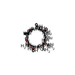 CCCC[C@H]1C(=O)N(C)[C@@H](CCCC)C(=O)N[C@@H](CCCNC(=N)N)C(=O)N[C@@H](C(=O)NCC(N)=O)CSCC(=O)N[C@@H](Cc2c[nH]c3ccccc23)C(=O)N(C)[C@@H](C)C(=O)N[C@@H](CC(N)=O)C(=O)N2CCC[C@H]2C(=O)N[C@@H](Cc2cnc[nH]2)C(=O)N[C@@H](CC(C)C)C(=O)N(C)CC(=O)N[C@@H](Cc2c[nH]c3ccccc23)C(=O)N[C@@H](CO)C(=O)N[C@@H](Cc2c[nH]c3ccccc23)C(=O)N1C